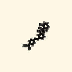 O=C(O)c1ccc(CCc2cccc(NS(=O)(=O)c3c(F)cccc3F)c2)cc1